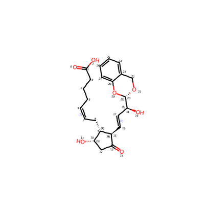 O=C(O)CCC/C=C\C[C@H]1[C@@H](O)CC(=O)[C@@H]1/C=C/[C@H](O)[C@H]1OCc2ccccc2O1